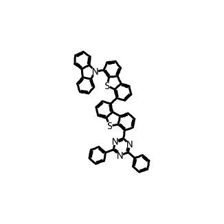 c1ccc(-c2nc(-c3ccccc3)nc(-c3cccc4c3sc3cccc(-c5cccc6c5sc5c(-n7c8ccccc8c8ccccc87)cccc56)c34)n2)cc1